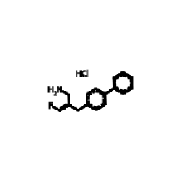 Cl.NC/C(=C\F)Cc1ccc(-c2ccccc2)cc1